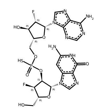 Nc1cc2c(ncn2[C@@H]2O[C@H](CO)[C@@H](F)[C@H]2OP(=O)(S)OC[C@H]2O[C@@H](n3cnc4c(N)ncnc43)[C@@H](F)[C@@H]2O)c(=O)[nH]1